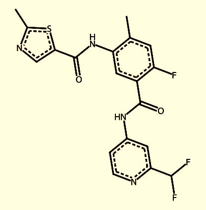 Cc1ncc(C(=O)Nc2cc(C(=O)Nc3ccnc(C(F)F)c3)c(F)cc2C)s1